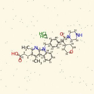 Cc1nc2c(c(C)c1CCC(=O)O)c1ccccc1n2Cc1ccc([C@@H](C(=O)N2CCNCC2)C2CCOCC2)cc1.Cl.Cl